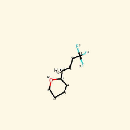 FC(F)(F)CC[SiH2]C1CCCCO1